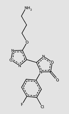 NCCCOc1nonc1-c1noc(=O)n1-c1ccc(F)c(Cl)c1